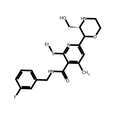 CCSc1nc(C2OCCN[C@H]2CO)cc(C)c1C(=O)NCc1cccc(F)c1